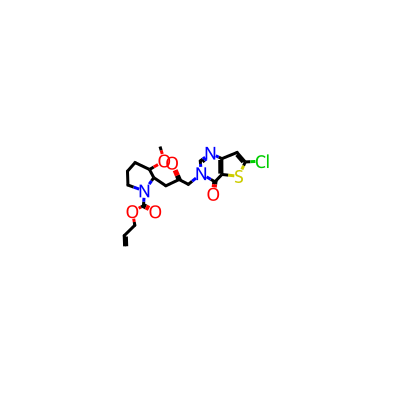 C=CCOC(=O)N1CCCC(OC)C1CC(=O)Cn1cnc2cc(Cl)sc2c1=O